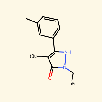 Cc1cccc(-c2[nH]n(CC(C)C)c(=O)c2C(C)(C)C)c1